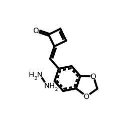 NN.O=C1C=CC1=Cc1ccc2c(c1)OCO2